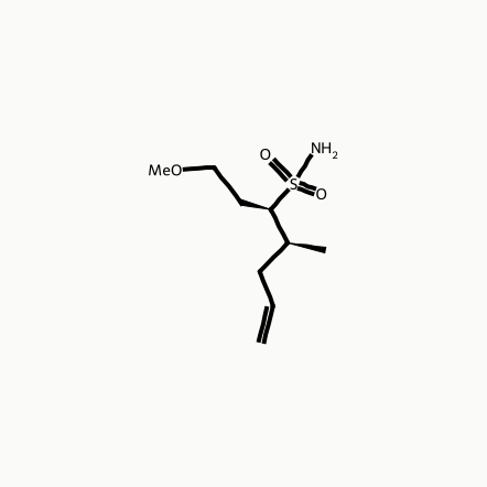 C=CC[C@H](C)[C@@H](CCOC)S(N)(=O)=O